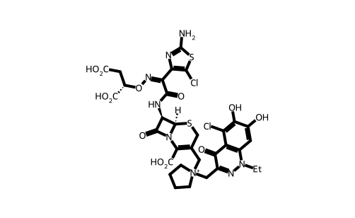 CCn1nc(C[N+]2(CC3=C(C(=O)O)N4C(=O)[C@@H](NC(=O)/C(=N\O[C@@H](CC(=O)O)C(=O)O)c5nc(N)sc5Cl)[C@H]4SC3)CCCC2)c(=O)c2c(Cl)c(O)c(O)cc21